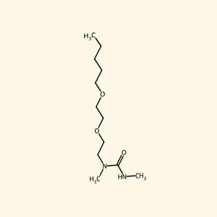 CCCCCOCCOCCN(C)C(=O)NC